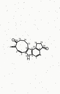 C=C1/C=C\c2[nH]c3ccc4c(c3c2CCCC1=O)CCC4=O